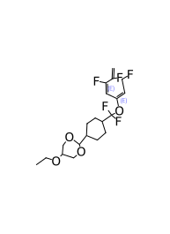 C=C(F)/C(F)=C\C(=C/CF)OC(F)(F)C1CCC(C2OCC(OCC)CO2)CC1